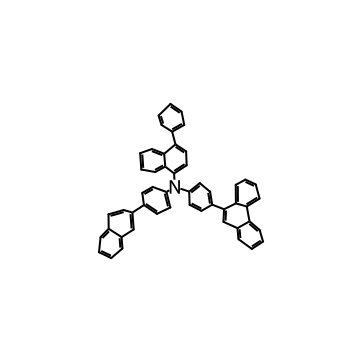 c1ccc(-c2ccc(N(c3ccc(-c4ccc5ccccc5c4)cc3)c3ccc(-c4cc5ccccc5c5ccccc45)cc3)c3ccccc23)cc1